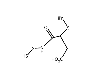 CC(C)SC(CC(=O)O)C(=O)NSS